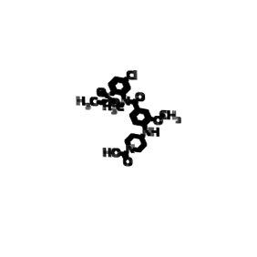 CCS(=O)(=O)c1ccc(Cl)cc1N(C)C(=O)c1ccc(NC2CCN(C(=O)O)CC2)c(OC)c1